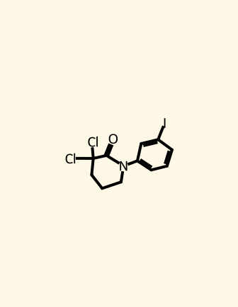 O=C1N(c2cccc(I)c2)CCCC1(Cl)Cl